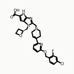 O=C(O)c1cc2c(nc(CN3CC=C(c4cccc(OCc5ccc(Cl)cc5F)n4)CC3)n2C[C@@H]2CCO2)[nH]1